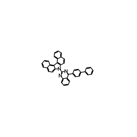 c1ccc(-c2ccc(-c3nc(-n4c5ccc6ccccc6c5c5c6ccccc6ccc54)nc4ccccc34)cc2)cc1